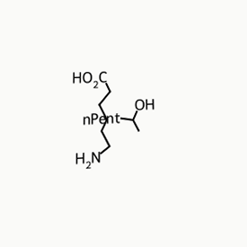 CCCCCC(C)O.NCCCCCC(=O)O